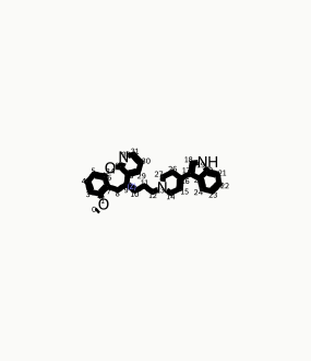 COc1cccc2c1C/C(=C/CCN1CC=C(c3c[nH]c4ccccc34)CC1)c1cccnc1O2